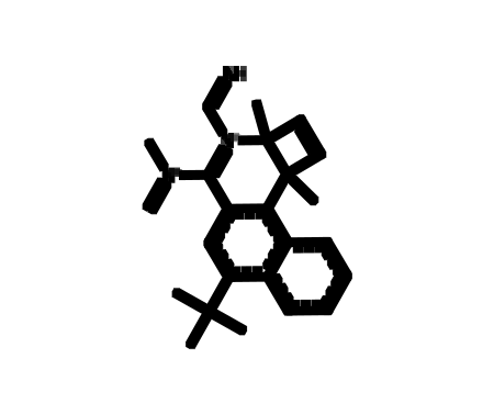 C=[N+](C)C1=[N+](C=N)C2(C)C=CC2(C)c2c1cc(C(C)(C)C)c1ccccc21